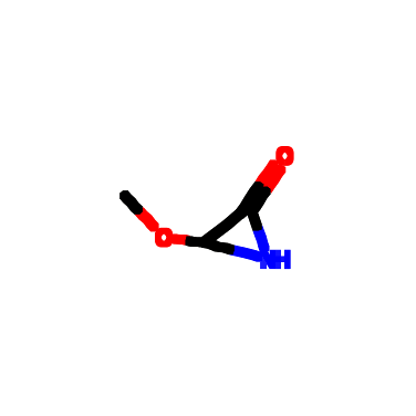 COC1NC1=O